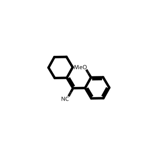 COc1ccccc1C(C#N)=C1CCCCC1